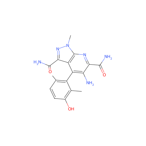 Cc1ccc(O)c(C)c1-c1c(N)c(C(N)=O)nc2c1c(C(N)=O)nn2C